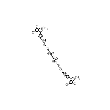 CN1Cc2c(Cl)cc(Cl)cc2C(c2ccc(SNCCOCCOCCNC(=O)COCC(=O)NCCOCCOCCNSc3ccc(C4CN(C)Cc5c(Cl)cc(Cl)cc54)cc3)cc2)C1